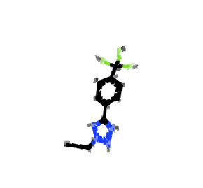 CCn1nnc(-c2ccc(C(F)(F)F)cc2)n1